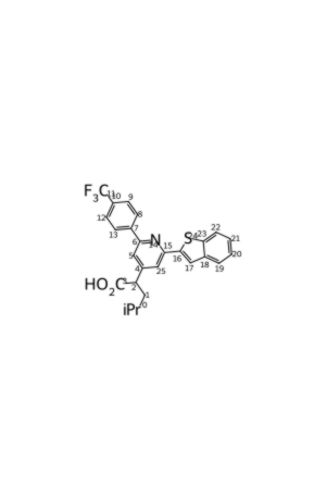 CC(C)CC(C(=O)O)c1cc(-c2ccc(C(F)(F)F)cc2)nc(-c2cc3ccccc3s2)c1